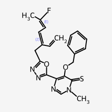 C=C/C(=C\C=C(/C)F)Cc1nnc(-c2ncn(C)c(=S)c2OCc2ccccc2)o1